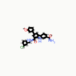 COc1cccc(-c2cc(C(=O)NCc3cccc(Cl)c3)c3[nH]c4cc(C(N)=O)ccc4c3c2)c1